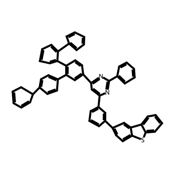 C1=CCC(c2ccc(-c3cc(-c4cc(-c5cccc(-c6ccc7sc8ccccc8c7c6)c5)nc(-c5ccccc5)n4)ccc3-c3ccccc3-c3ccccc3)cc2)C=C1